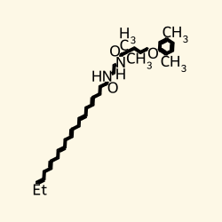 CCC=CCC=CCC=CCC=CCC=CCC=CCCC(=O)NCCNC(=O)C(C)(C)CCCOc1cc(C)ccc1C